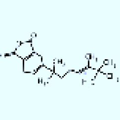 C/C(=C\CCC(C)(C)C1=CCC2=C(C1)C(=O)OC2=O)C(C)(C)C